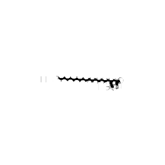 CCCCCCCCCCCCCCCCCCC(CC(=O)S)C(=O)S